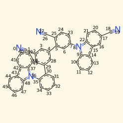 N#Cc1cc(-c2cc(-n3c4ccccc4c4cc(C#N)ccc43)ccc2C#N)cc(-c2ccccc2-n2c3ccccc3c3ccccc32)c1